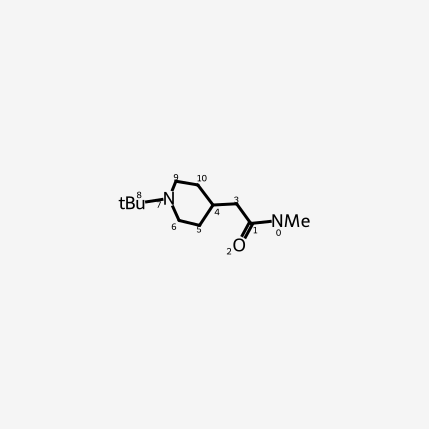 CNC(=O)CC1CCN(C(C)(C)C)CC1